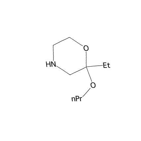 CCCOC1(CC)CNCCO1